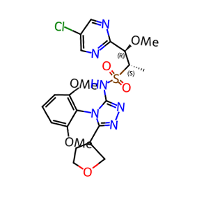 COc1cccc(OC)c1-n1c(NS(=O)(=O)[C@@H](C)[C@H](OC)c2ncc(Cl)cn2)nnc1C1CCOC1